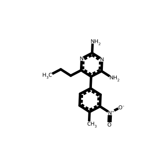 CCCc1nc(N)nc(N)c1-c1ccc(C)c([N+](=O)[O-])c1